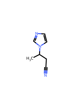 CC(CC#N)n1ccnc1